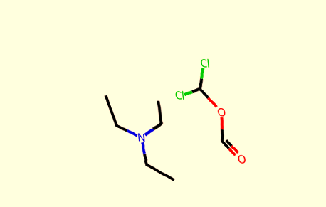 CCN(CC)CC.O=COC(Cl)Cl